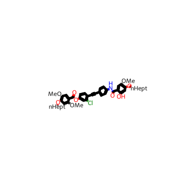 CCCCCCCOc1cc(O)c(C(=O)Nc2ccc(C#Cc3ccc(OC(=O)c4cc(OC)c(OCCCCCCC)cc4OC)cc3Cl)cc2)cc1OC